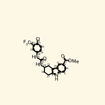 COC(=O)c1ccc2[nH]c3c(c2c1)CC(NC(=O)Nc1ccc(Cl)c(C(F)(F)F)c1)CC3